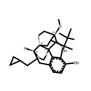 CO[C@]12CC[C@@]3(CC1C(C)(O)C(C)(C)C)[C@H]1Cc4ccc(O)c5c4[C@@]3(CCN1CC1CC1)C2O5